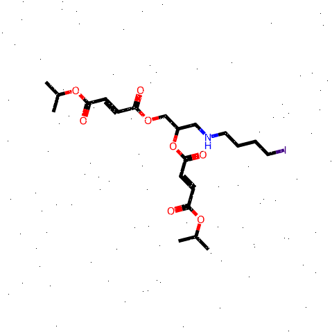 CC(C)OC(=O)/C=C/C(=O)OCC(CNCCCCI)OC(=O)/C=C/C(=O)OC(C)C